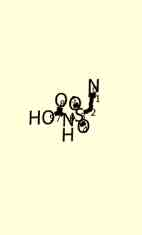 N#CCS(=O)(=O)NC(=O)O